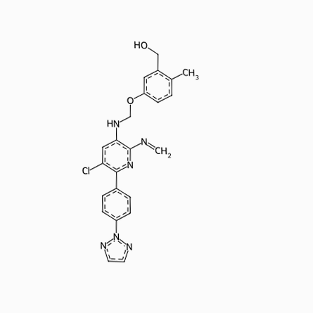 C=Nc1nc(-c2ccc(-n3nccn3)cc2)c(Cl)cc1NCOc1ccc(C)c(CO)c1